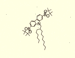 CCCCCCCCC(CCCCCC)Cn1c2cc(B3OC(C)(C)C(C)(C)O3)ccc2c2ccc(B3OC(C)(C)C(C)(C)O3)cc21